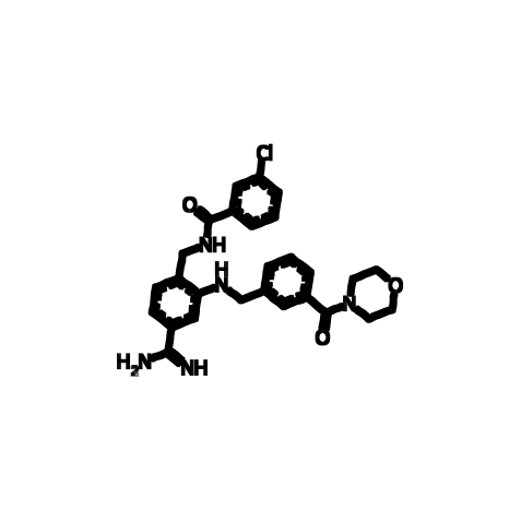 N=C(N)c1ccc(CNC(=O)c2cccc(Cl)c2)c(NCc2cccc(C(=O)N3CCOCC3)c2)c1